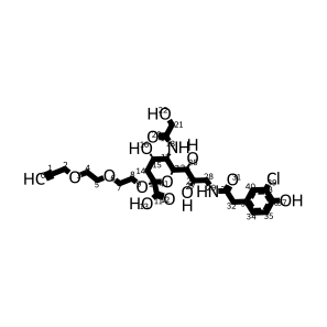 C#CCOCCOCCO[C@]1(C(=O)O)C[C@H](O)[C@@H](NC(=O)CO)[C@H]([C@H](O)[C@H](O)CNC(=O)Cc2ccc(O)c(Cl)c2)O1